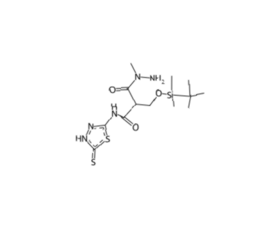 CN(N)C(=O)C(CO[Si](C)(C)C(C)(C)C)C(=O)Nc1n[nH]c(=S)s1